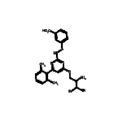 Cc1cccc(C)c1-c1cc(OCC(N)C(C(C)C)C(C)C)nc(NSc2cccc(C(=O)O)c2)n1